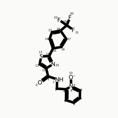 O=C(NCc1cccc[n+]1[O-])c1csc(-c2ccc(C(F)(F)F)cc2)n1